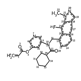 C=CC(=O)Oc1cncc(N(Cc2cccc3cc4cnn(C)c4c(F)c23)C(=O)C2CCCCC2)c1